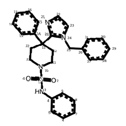 O=S(=O)(Nc1ccccc1)N1CCC(c2ccccc2)(c2nccn2Cc2ccccc2)CC1